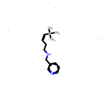 C[Si](C)(C)/C=C\CCNCc1cccnc1